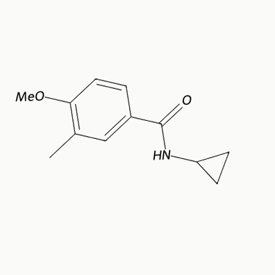 COc1ccc(C(=O)NC2CC2)cc1C